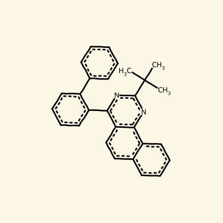 CC(C)(C)c1nc(-c2ccccc2-c2ccccc2)c2ccc3ccccc3c2n1